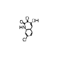 O=c1[nH]c2cc(Cl)ccc2cc(O)c1=O